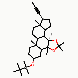 CC#C[C@H]1CCC2C3C(CC[C@@]21C)[C@@]1(C)CC[C@@H](O[Si](C)(C)C(C)(C)C)CC1[C@H]1OC(C)(C)O[C@H]31